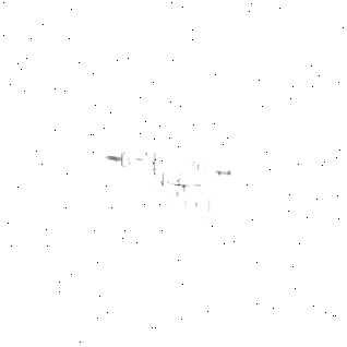 C=BN=N[C@](CC=C)(C(=O)O)C(C)CC